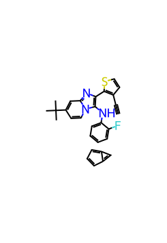 C#Cc1ccsc1-c1nc2cc(C(C)(C)C)ccn2c1Nc1ccccc1F.c1cc2cc-2c1